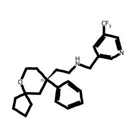 FC(F)(F)c1cncc(CNCC[C@]2(c3ccccc3)CCOC3(CCCC3)C2)c1